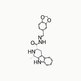 C[C@@H]1N[C@H](C(=O)N/N=C/c2ccc3c(c2)OCO3)Cc2c1[nH]c1ccccc21